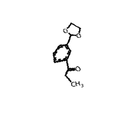 CCC(=O)c1cccc(C2OCCO2)c1